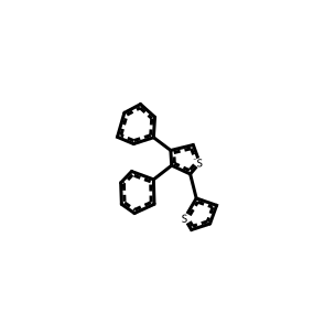 c1ccc(-c2csc(-c3cccs3)c2-c2ccccc2)cc1